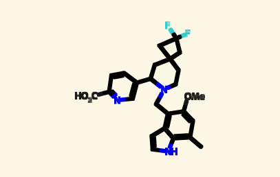 COc1cc(C)c2[nH]ccc2c1CN1CCC2(CC1c1ccc(C(=O)O)nc1)CC(F)(F)C2